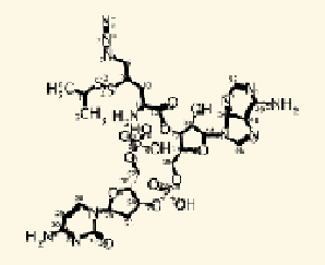 CC(C)SSC(CN=[N+]=[N-])CC(N)C(=O)O[C@@H]1[C@H](COP(=O)(O)O[C@H]2CC(n3ccc(N)nc3=O)O[C@@H]2COP(=O)(O)O)OC(n2cnc3c(N)ncnc32)[C@@H]1O